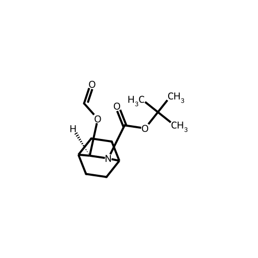 CC(C)(C)OC(=O)N1C2CCC(CC2)[C@H]1OC=O